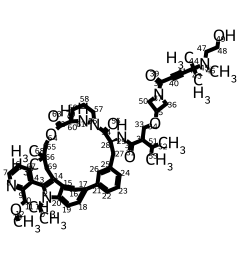 CCn1c(-c2cccnc2[C@H](C)OC)c2c3cc(ccc31)-c1cccc(c1)C[C@H](NC(=O)C(COC1CN(C(=O)C#CC(C)(C)N(C)CCO)C1)C(C)C)C(=O)N1CCC[C@H](N1)C(=O)OCC(C)(C)C2